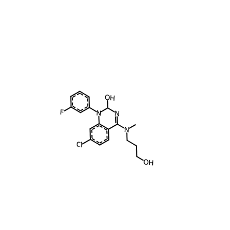 CN(CCCO)C1=NC(O)N(c2cccc(F)c2)c2cc(Cl)ccc21